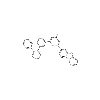 Cc1cc(-c2ccc3c(c2)sc2ccccc23)cc(-c2ccc3c4ccccc4c4ccccc4c3c2)c1